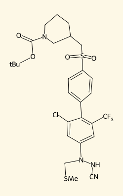 CSCN(NC#N)c1cc(Cl)c(-c2ccc(S(=O)(=O)CC3CCCN(C(=O)OC(C)(C)C)C3)cc2)c(C(F)(F)F)c1